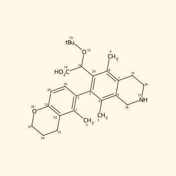 Cc1c(-c2c(C)c3c(c(C)c2C(OC(C)(C)C)C(=O)O)CCNC3)ccc2c1CCCO2